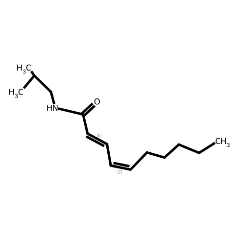 CCCCC/C=C\C=C\C(=O)NCC(C)C